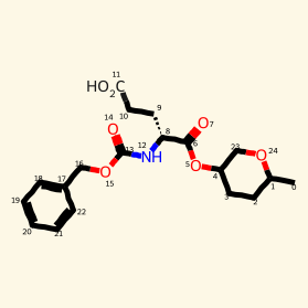 CC1CCC(OC(=O)[C@@H](CCC(=O)O)NC(=O)OCc2ccccc2)CO1